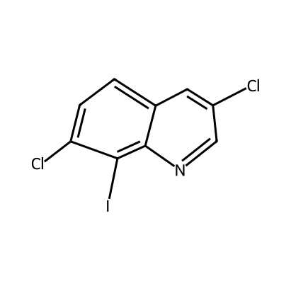 Clc1cnc2c(I)c(Cl)ccc2c1